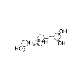 CCC1(O)CCCN(C[C@@H](C)[C@H]2CC[C@H]3C(=CC=C4C[C@@H](O)C[C@H](O)C4)CCC[C@]23C)C1